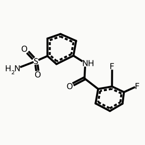 NS(=O)(=O)c1cccc(NC(=O)c2cccc(F)c2F)c1